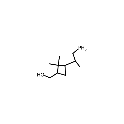 CC(CP)C1CC(CO)C1(C)C